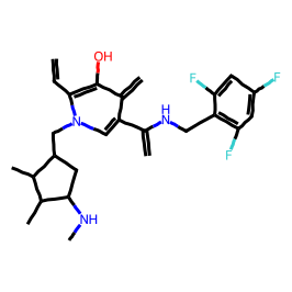 C=CC1=C(O)C(=C)C(C(=C)NCc2c(F)cc(F)cc2F)=CN1CC1CC(NC)C(C)C1C